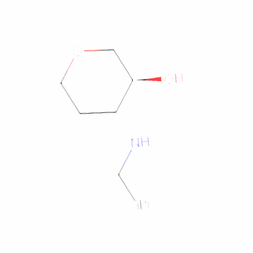 CC(C)CN[C@@H]1CCOC[C@H]1O